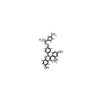 CC1=C(c2ccc(O)cc2C#N)C(c2ccc(OC[C@H](C)N3CC[C@@H](C)C3)cc2)Oc2ccc(O)cc21